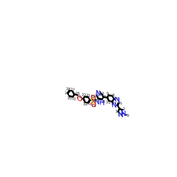 Cn1cc(-c2cnc3ccc(-c4cncc(NS(=O)(=O)c5ccc(OCc6ccccc6)cc5)c4)cc3n2)cn1